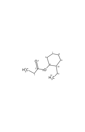 CCC(=O)OC1CCCCC1CC